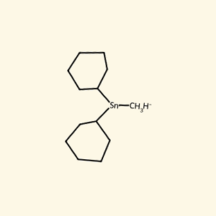 [CH3][Sn]([CH]1CCCCC1)[CH]1CCCCC1.[H-]